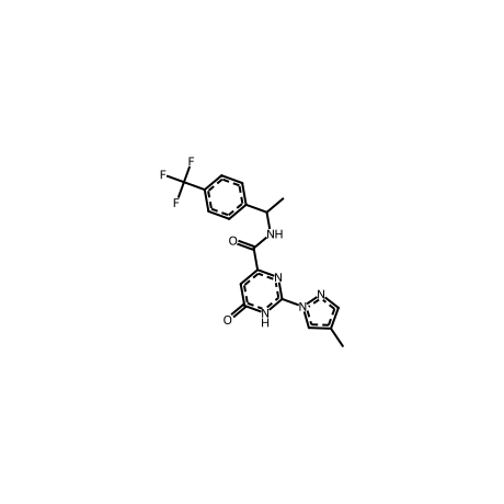 Cc1cnn(-c2nc(C(=O)NC(C)c3ccc(C(F)(F)F)cc3)cc(=O)[nH]2)c1